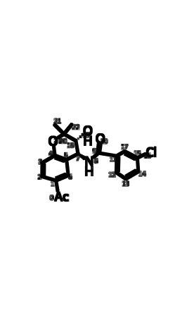 CC(=O)c1ccc2c(c1)[C@H](NC(=O)c1cccc(Cl)c1)[C@@H](O)C(C)(C)O2